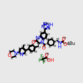 Cc1cc(N2CCOCC2)ncc1-c1ccc(C[C@@H](C(N)=O)N(c2ccc(-c3nn[nH]n3)cc2)C(=O)[C@H]2CC[C@H](CNC(=O)OC(C)(C)C)CC2)cc1.O=C(O)C(F)(F)F